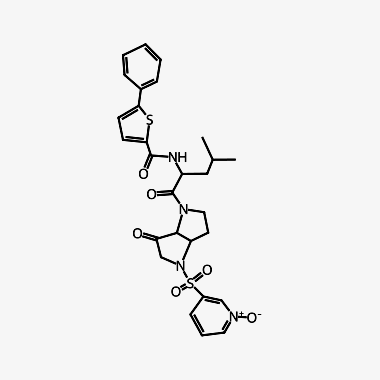 CC(C)CC(NC(=O)c1ccc(-c2ccccc2)s1)C(=O)N1CCC2C1C(=O)CN2S(=O)(=O)c1ccc[n+]([O-])c1